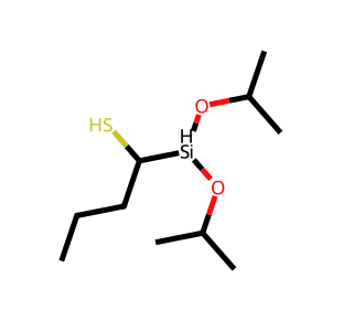 CCCC(S)[SiH](OC(C)C)OC(C)C